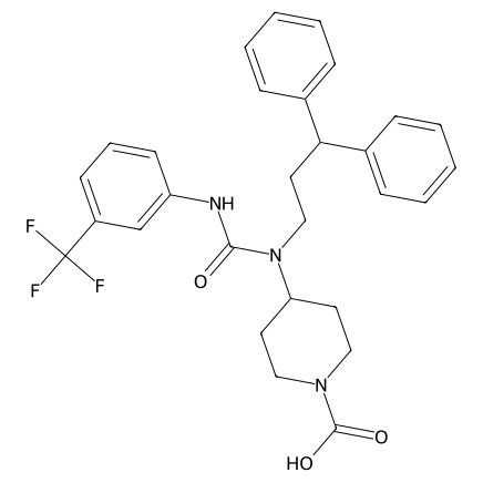 O=C(O)N1CCC(N(CCC(c2ccccc2)c2ccccc2)C(=O)Nc2cccc(C(F)(F)F)c2)CC1